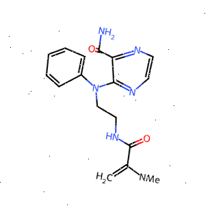 C=C(NC)C(=O)NCCN(c1ccccc1)c1nccnc1C(N)=O